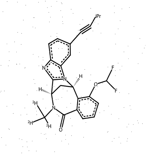 [2H]C([2H])([2H])N1C(=O)c2cccc(OC(F)F)c2[C@H]2C[C@@H]1c1nc3ccc(C#CC(C)C)cc3n12